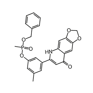 Cc1cc(OP(C)(=O)OCc2ccccc2)cc(-c2cc(=O)c3cc4c(cc3[nH]2)OCO4)c1